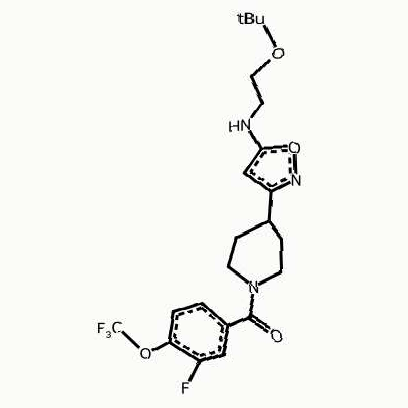 CC(C)(C)OCCNc1cc(C2CCN(C(=O)c3ccc(OC(F)(F)F)c(F)c3)CC2)no1